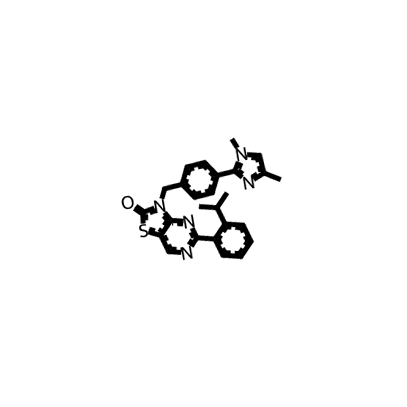 Cc1cn(C)c(-c2ccc(Cn3c(=O)sc4cnc(-c5ccccc5C(C)C)nc43)cc2)n1